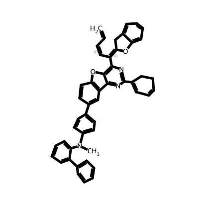 C=C/C=C\C(=C1/Cc2ccccc2O1)c1nc(C2=CC=CCC2)nc2c1oc1ccc(-c3ccc(N(C)c4ccccc4-c4ccccc4)cc3)cc12